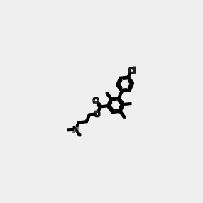 Cc1cc(C(=O)OCCCN(C)C)c(C)c(-c2ccc(Cl)cc2)c1C